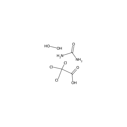 NC(N)=O.O=C(O)C(Cl)(Cl)Cl.OO